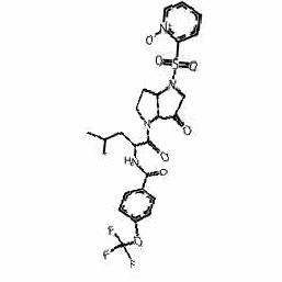 CC(C)CC(NC(=O)c1ccc(OC(F)(F)F)cc1)C(=O)N1CCC2C1C(=O)CN2S(=O)(=O)c1cccc[n+]1[O-]